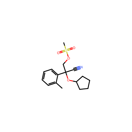 Cc1ccccc1C(C#N)(COS(C)(=O)=O)OC1CCCC1